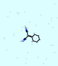 N#CC(C#N)=C1CCCCC1